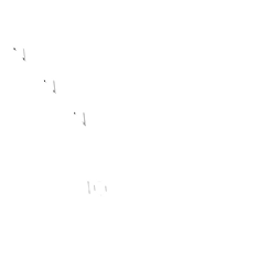 CCc1cccc(O)c1CN=[N+]=[N-]